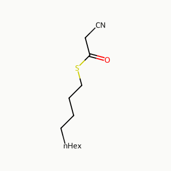 CCCCCCCCCCSC(=O)CC#N